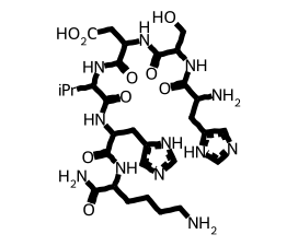 CC(C)C(NC(=O)C(CC(=O)O)NC(=O)C(CO)NC(=O)C(N)Cc1cnc[nH]1)C(=O)NC(Cc1cnc[nH]1)C(=O)NC(CCCCN)C(N)=O